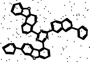 c1ccc(-c2ccc3ccc(-c4nc(-c5cccc6c5ccc5oc7ccccc7c56)nc(-c5cccc6oc7cc(-c8ccccc8)ccc7c56)n4)cc3c2)cc1